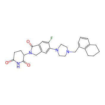 O=C1CCC(N2Cc3cc(N4CCN(Cc5cccc6c5CCCC6)CC4)c(F)cc3C2=O)C(=O)N1